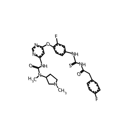 CN1CCC(N(C)C(=O)Nc2cc(Oc3ccc(NC(=S)NC(=O)Cc4ccc(F)cc4)cc3F)ncn2)C1